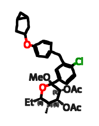 CC[C@H]1OC(OC)(c2ccc(Cl)c(Cc3ccc(OC4CC5CC5C4)cc3)c2)[C@H](OC(C)=O)[C@@H](OC(C)=O)[C@@H]1C